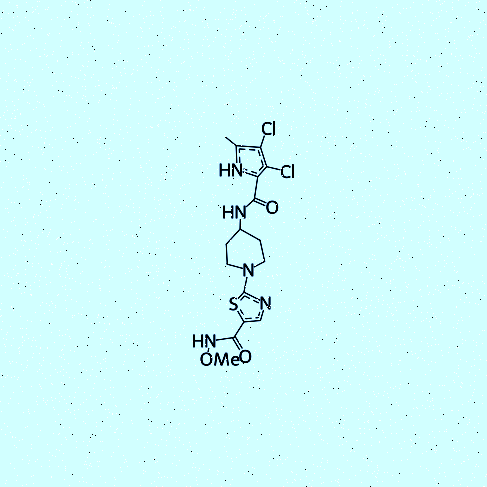 CONC(=O)c1cnc(N2CCC(NC(=O)c3[nH]c(C)c(Cl)c3Cl)CC2)s1